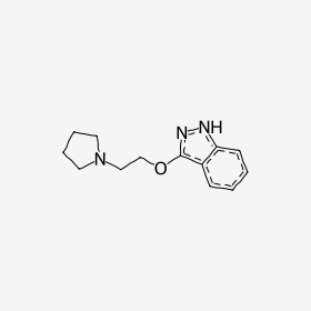 c1ccc2c(OCCN3CCCC3)n[nH]c2c1